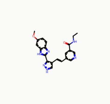 CCNC(=O)c1cncc(C=Cc2c[nH]nc2-c2nc3ccc(OC)cc3[nH]2)c1